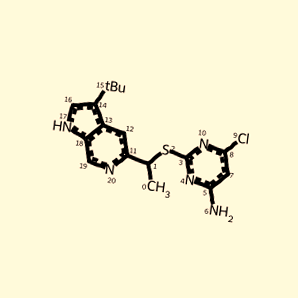 CC(Sc1nc(N)cc(Cl)n1)c1cc2c(C(C)(C)C)c[nH]c2cn1